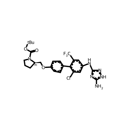 CC(C)(C)OC(=O)N1CCC[C@@H]1COc1ccc(-c2c(Cl)cc(Nc3n[nH]c(N)n3)cc2C(F)(F)F)cc1